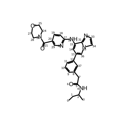 CCC(C)NC(=O)Cc1cccc(-c2cc(Nc3ccc(C(=O)N4CCOCC4)cn3)c3nccn3c2)c1